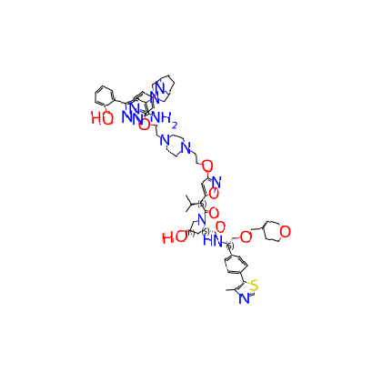 Cc1ncsc1-c1ccc([C@@H](COCC2CCOCC2)NC(=O)[C@@H]2C[C@@H](O)CN2C(=O)[C@H](c2cc(OCCN3CCN(CCOc4cc(N5C6CCC5CN(c5cc(-c7ccccc7O)nnc5N)C6)ccn4)CC3)no2)C(C)C)cc1